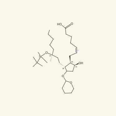 CCCCC[C@@](C)(CC[C@H]1C(OC2CCCCO2)C[C@H](O)[C@@H]1C/C=C\CCCC(=O)O)O[Si](C)(C)C(C)(C)C